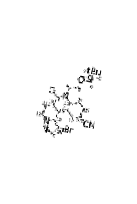 CC(C)(C)[Si](C)(C)OCCN(C(=O)c1ccn2ncc(Br)c2c1)c1ccc(C#N)cc1